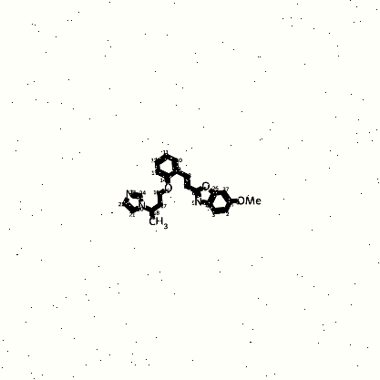 COc1ccc2nc(C=Cc3ccccc3OCCC(C)n3ccnc3)oc2c1